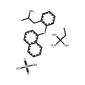 CC(N)Cc1ccccc1Oc1cccc2ccccc12.CCC(N)(O)O.O=S(=O)(O)O